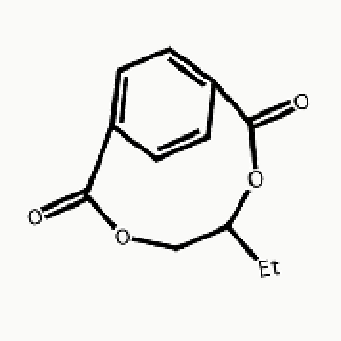 CCC1COC(=O)c2ccc(cc2)C(=O)O1